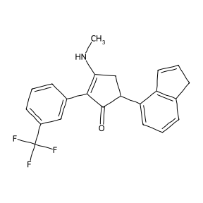 CNC1=C(c2cccc(C(F)(F)F)c2)C(=O)C(c2cccc3c2C=CC3)C1